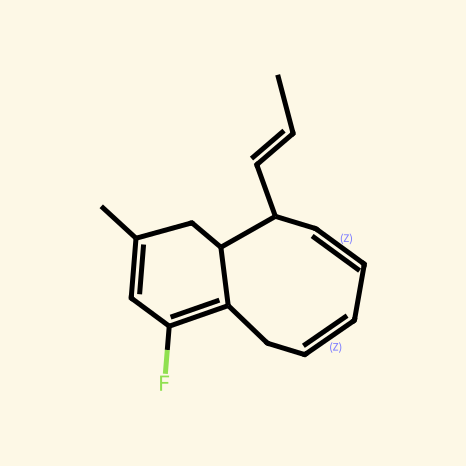 CC=CC1/C=C\C=C/CC2=C(F)C=C(C)CC21